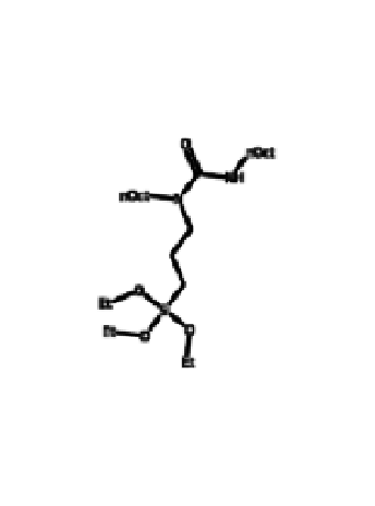 CCCCCCCCNC(=O)N(CCCCCCCC)CCC[Si](OCC)(OCC)OCC